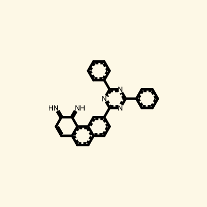 N=C1C=Cc2ccc3ccc(-c4nc(-c5ccccc5)nc(-c5ccccc5)n4)cc3c2C1=N